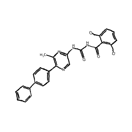 Cc1nc(NC(=O)NC(=O)c2c(Cl)cccc2Cl)cnc1-c1ccc(-c2ccccc2)cc1